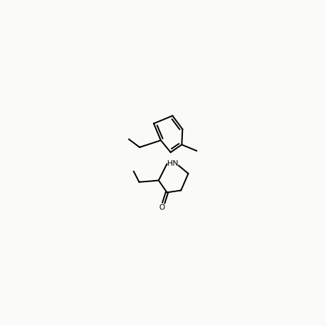 CCC1CNCCC1=O.CCc1cccc(C)c1